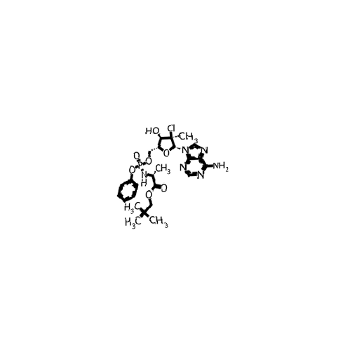 C[C@@H](NP(=O)(OC[C@H]1O[C@@H](n2cnc3c(N)ncnc32)[C@](C)(Cl)[C@@H]1O)Oc1ccccc1)C(=O)OCC(C)(C)C